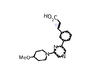 COC1CCN(c2cncc(-c3cccc(/C=C/C(=O)O)c3)n2)CC1